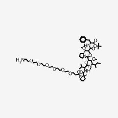 CCC(C)C(C(CC(=O)N1CCC[C@H]1C(OC)C(C)C(=O)NC(Cc1ccccc1)C(=O)OC(C)(C)C)OC)N(C)C(=O)C(NC(=O)[C@]1(C)CCCN1C(=O)CCOCCOCCOCCOCCOCCOCCN)C(C)C